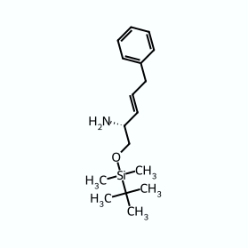 CC(C)(C)[Si](C)(C)OC[C@H](N)/C=C/Cc1ccccc1